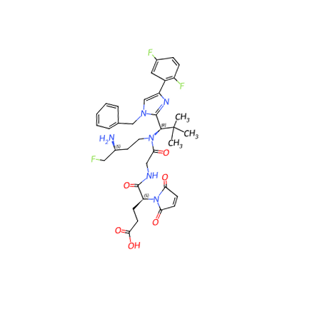 CC(C)(C)[C@H](c1nc(-c2cc(F)ccc2F)cn1Cc1ccccc1)N(CC[C@H](N)CF)C(=O)CNC(=O)[C@H](CCC(=O)O)N1C(=O)C=CC1=O